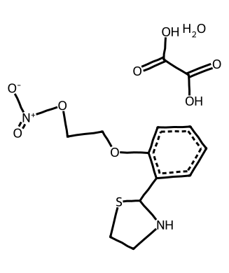 O.O=C(O)C(=O)O.O=[N+]([O-])OCCOc1ccccc1C1NCCS1